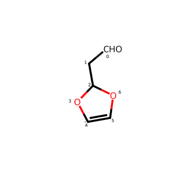 O=CCC1O[C]=CO1